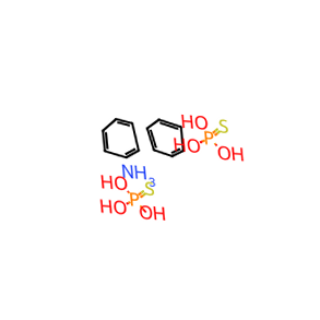 N.OP(O)(O)=S.OP(O)(O)=S.c1ccccc1.c1ccccc1